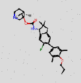 CCCOc1c(C)cc(-c2cc3c(cc2F)[C@H](NC(=O)O[C@H]2CN4CCC2CC4)C(C)(C)C3)cc1C